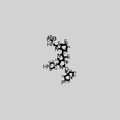 CC(C)(C)OC(=O)Nc1nc2c(-c3ncc4c(N5CCNCC5)nc(OC[C@@]56CCCN5C[C@H](F)C6)nc4c3F)ccc(F)c2s1